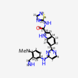 CNc1ccc(Nc2ccnc(-c3ccc4cc(C(=O)Nc5ncns5)[nH]c4c3)n2)cc1C=N